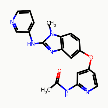 CC(=O)Nc1cc(Oc2ccc3c(c2)nc(Nc2cccnc2)n3C)ccn1